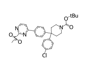 CC(C)(C)OC(=O)N1CCC(c2ccc(Cl)cc2)(c2ccc(-c3ccnc(S(C)(=O)=O)n3)cc2)CC1